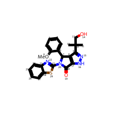 COc1ccccc1C1c2c(C(C)(C)CO)n[nH]c2C(=O)N1c1nc2ccccc2s1